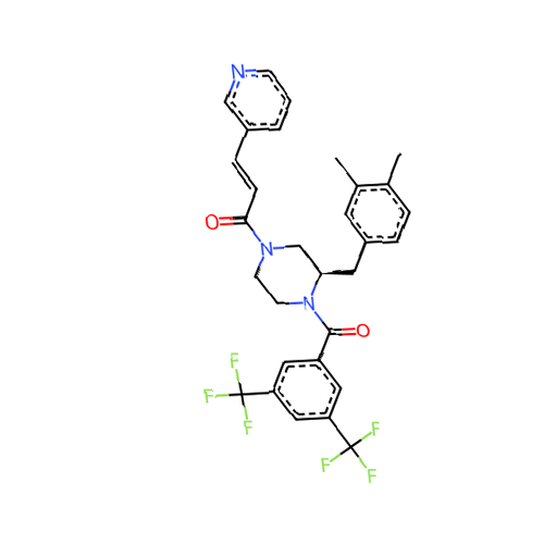 Cc1ccc(C[C@@H]2CN(C(=O)/C=C/c3cccnc3)CCN2C(=O)c2cc(C(F)(F)F)cc(C(F)(F)F)c2)cc1C